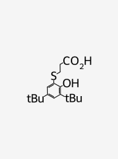 CC(C)(C)c1cc(SCCC(=O)O)c(O)c(C(C)(C)C)c1